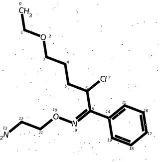 CCOCCCC(Cl)C(=NOCCN)c1ccccc1